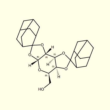 OC[C@H]1O[C@@H]2OC3(O[C@@H]2[C@H]2OC4(O[C@H]21)C1CC2CC(C1)CC4C2)C1CC2CC(C1)CC3C2